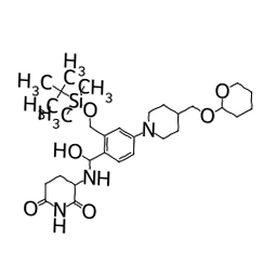 CC(C)(C)[Si](C)(C)OCc1cc(N2CCC(COC3CCCCO3)CC2)ccc1C(O)NC1CCC(=O)NC1=O